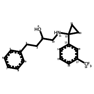 OC([CH]Cc1ccccc1)CNC1(c2cccc(C(F)(F)F)c2)CC1